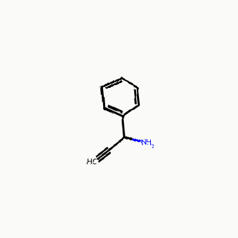 C#CC(N)c1cc[c]cc1